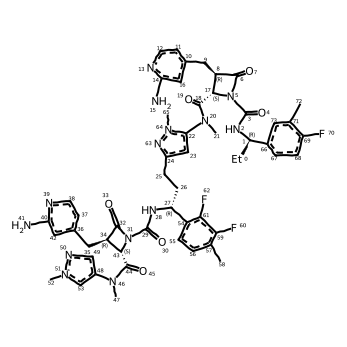 CC[C@@H](NC(=O)N1C(=O)[C@H](Cc2ccnc(N)c2)[C@H]1C(=O)N(C)c1cc(CC[C@@H](NC(=O)N2C(=O)[C@H](Cc3ccnc(N)c3)[C@H]2C(=O)N(C)c2cnn(C)c2)c2ccc(C)c(F)c2F)nn1C)c1ccc(F)c(C)c1